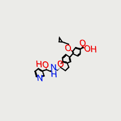 O=C(O)c1ccc(-c2ccc3c(c2)CC[C@H](CNC[C@@H](O)c2cccnc2)O3)c(OCC2CC2)c1